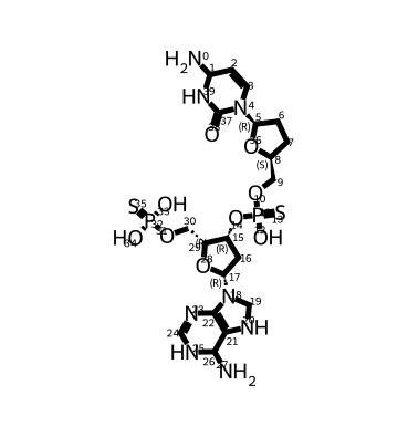 NC1C=CN([C@H]2CC[C@@H](COP(O)(=S)O[C@@H]3C[C@H](N4CNC5=C4N=CNC5N)O[C@@H]3COP(O)(O)=S)O2)C(=O)N1